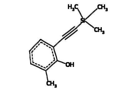 Cc1cccc(C#C[Si](C)(C)C)c1O